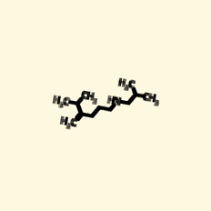 C=C(CCCNCC(C)C)C(C)C